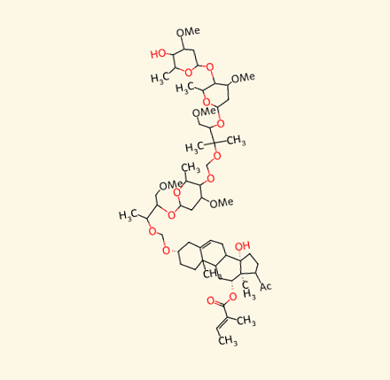 C/C=C(\C)C(=O)O[C@@H]1CC2C(CC=C3C[C@@H](OCOC(C)C(COC)OC4CC(OC)C(OCOC(C)(C)C(COC)OC5CC(OC)C(OC6CC(OC)C(O)C(C)O6)C(C)O5)C(C)O4)CCC32C)[C@@]2(O)CCC(C(C)=O)[C@@]12C